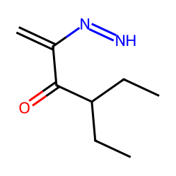 C=C(N=N)C(=O)C(CC)CC